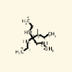 CCNC(CN[SiH3])(NCC)NCC